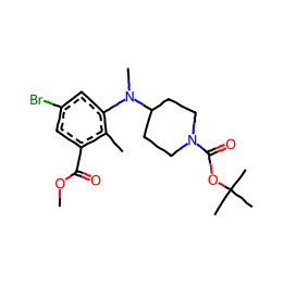 COC(=O)c1cc(Br)cc(N(C)C2CCN(C(=O)OC(C)(C)C)CC2)c1C